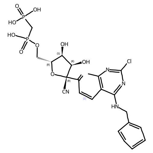 C=C(/C=C\c1c(C)nc(Cl)nc1NCc1ccccc1)[C@]1(C#N)O[C@H](COP(=O)(O)CP(=O)(O)O)[C@@H](O)[C@H]1O